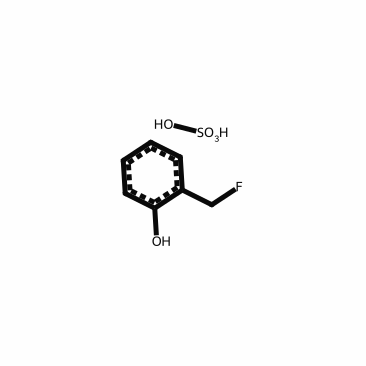 O=S(=O)(O)O.Oc1ccccc1CF